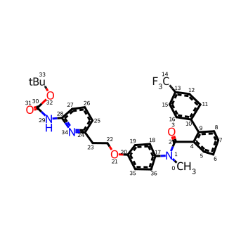 CN(C(=O)c1ccccc1-c1ccc(C(F)(F)F)cc1)c1ccc(OCCc2cccc(NC(=O)OC(C)(C)C)n2)cc1